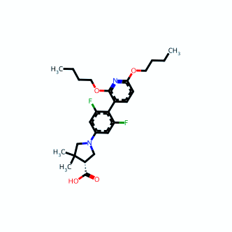 CCCCOc1ccc(-c2c(F)cc(N3C[C@H](C(=O)O)C(C)(C)C3)cc2F)c(OCCCC)n1